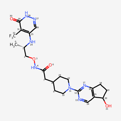 C[C@@H](CONC(=O)CC1CCN(c2ncc3c(n2)CCC3O)CC1)Nc1cn[nH]c(=O)c1C(F)(F)F